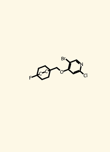 FC12CCC(COc3cc(Cl)ncc3Br)(CC1)CC2